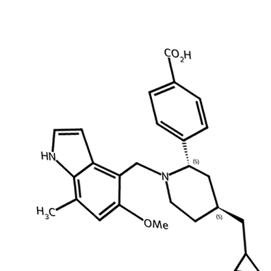 COc1cc(C)c2[nH]ccc2c1CN1CC[C@H](CC2CC2)C[C@H]1c1ccc(C(=O)O)cc1